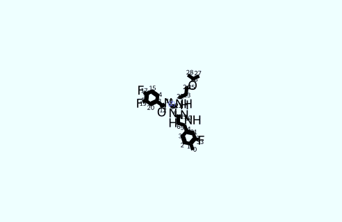 Cc1ccc(C2CC(N/C(=N\C(=O)c3ccc(F)c(F)c3)NCCCOC(C)C)NN2)cc1F